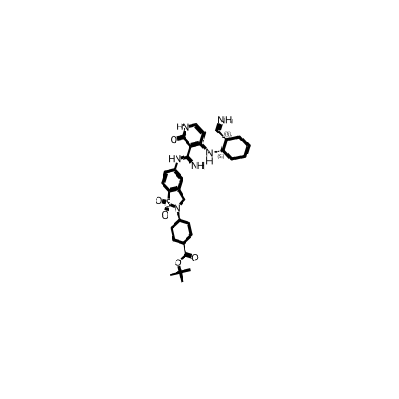 CC(C)(C)OC(=O)[C@H]1CC[C@@H](N2Cc3cc(NC(=N)c4c(N[C@H]5CCCC[C@@H]5C=N)cc[nH]c4=O)ccc3S2(=O)=O)CC1